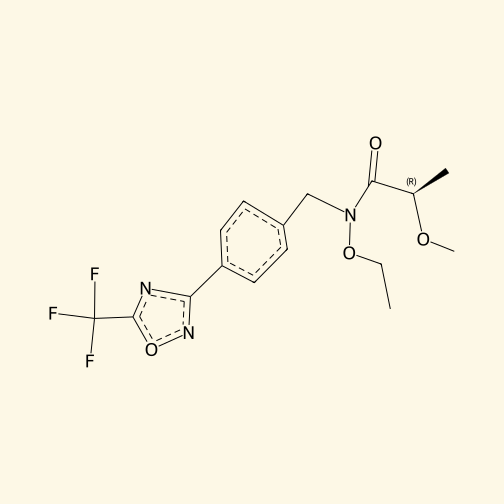 CCON(Cc1ccc(-c2noc(C(F)(F)F)n2)cc1)C(=O)[C@@H](C)OC